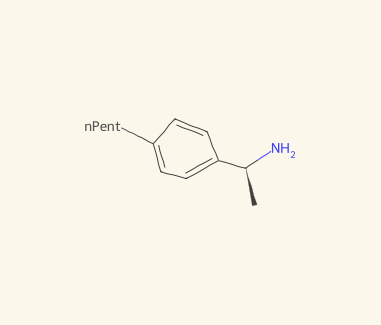 CCCCCc1ccc([C@H](C)N)cc1